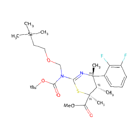 COC(=O)[C@@]1(C)SC(N(COCC[Si](C)(C)C)C(=O)OC(C)(C)C)=N[C@](C)(c2cccc(F)c2F)[C@@H]1C